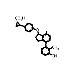 Cc1c(C#N)cccc1-c1ccc(F)c2c1CCC2Oc1ccc(C2C[C@@H]2C(=O)O)cc1